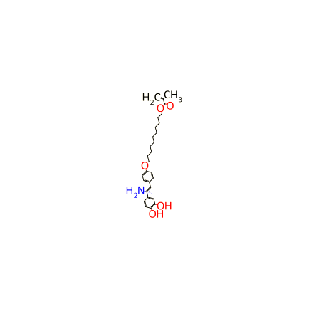 C=C(C)C(=O)OCCCCCCCCCCCOc1ccc(/C=C(\N)c2ccc(O)c(O)c2)cc1